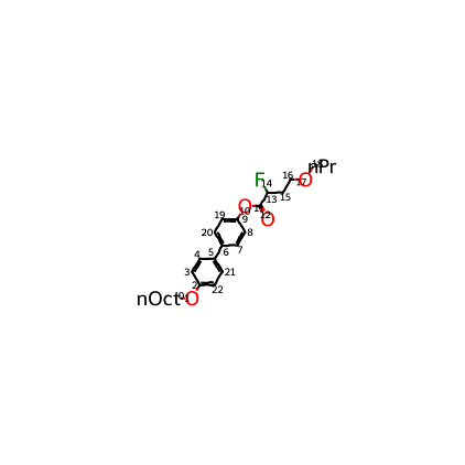 CCCCCCCCOc1ccc(-c2ccc(OC(=O)C(F)CCOCCC)cc2)cc1